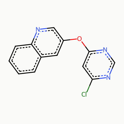 Clc1cc(Oc2cnc3ccccc3c2)ncn1